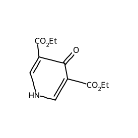 CCOC(=O)c1c[nH]cc(C(=O)OCC)c1=O